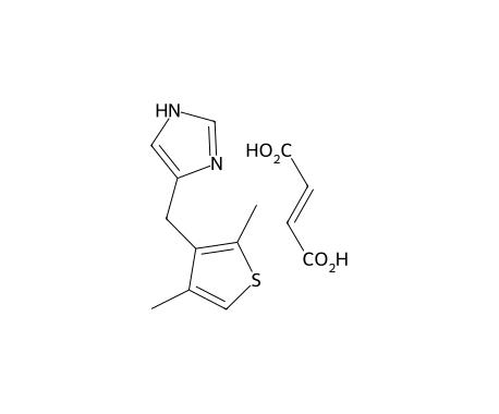 Cc1csc(C)c1Cc1c[nH]cn1.O=C(O)C=CC(=O)O